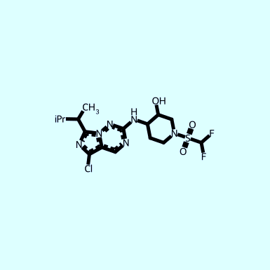 CC(C)C(C)c1nc(Cl)c2cnc(NC3CCN(S(=O)(=O)C(F)F)CC3O)nn12